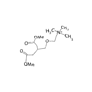 COC(=O)CC(COC[N+](C)(C)C)C(=O)OC